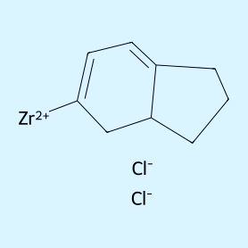 [Cl-].[Cl-].[Zr+2][C]1=CC=C2CCCC2C1